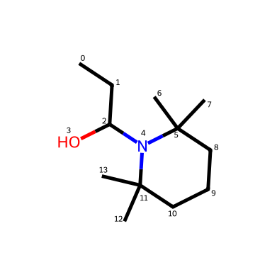 CCC(O)N1C(C)(C)CCCC1(C)C